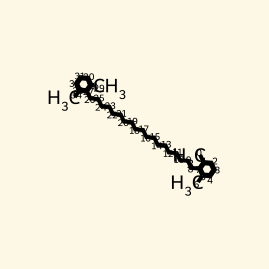 Cc1cccc(C)c1CCCCCCCCCCCCCCCCCCCc1c(C)cccc1C